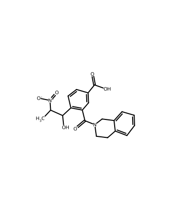 CC(C(O)c1ccc(C(=O)O)cc1C(=O)N1CCc2ccccc2C1)[N+](=O)[O-]